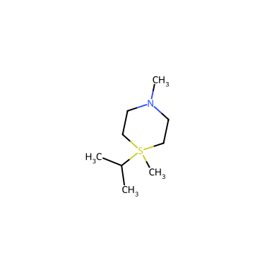 CC(C)S1(C)CCN(C)CC1